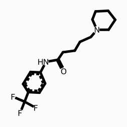 O=C(CCCCN1CCCCC1)Nc1ccc(C(F)(F)F)cc1